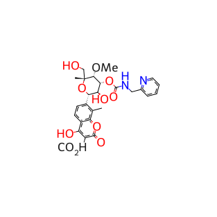 CO[C@@H]1[C@H](OC(=O)NCc2ccccn2)[C@@H](O)[C@H](c2ccc3c(O)c(C(=O)O)c(=O)oc3c2C)O[C@]1(C)CO